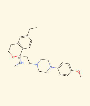 CCc1ccc2c(c1)CCO[C@]2(CCN1CCN(c2ccc(OC)cc2)CC1)NC